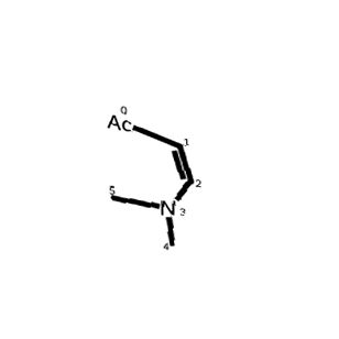 [CH2]C(=O)/C=C\N(C)C